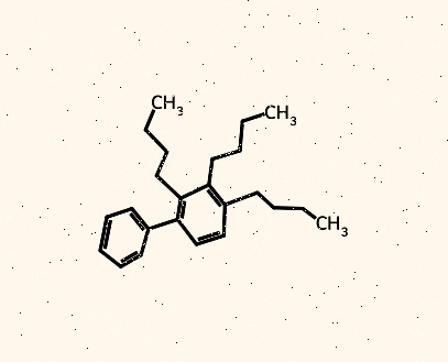 CCCCc1ccc(-c2ccccc2)c(CCCC)c1CCCC